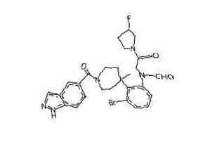 CC1(c2c(Br)cccc2N(C=O)CC(=O)N2CCC(F)C2)CCN(C(=O)c2ccc3[nH]ncc3c2)CC1